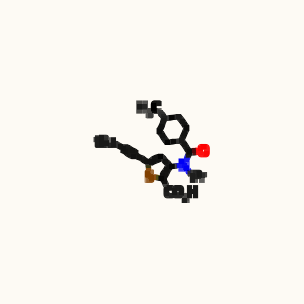 CC1CCC(C(=O)N(c2cc(C#CC(C)(C)C)sc2C(=O)O)C(C)C)CC1